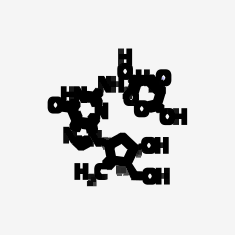 C=C1[C@H](CO)[C@@H](O)C[C@@H]1n1cnc2c(=O)[nH]c(N)nc21.O.O=C(O)/C=C\C(=O)O